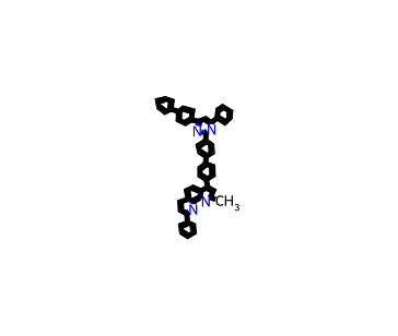 Cc1cc(-c2ccc(-c3ccc(-c4nc(-c5ccccc5)cc(-c5ccc(-c6ccccc6)cc5)n4)cc3)cc2)c2ccc3ccc(-c4ccccc4)nc3c2n1